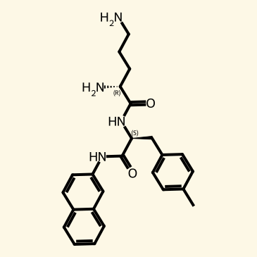 Cc1ccc(C[C@H](NC(=O)[C@H](N)CCCN)C(=O)Nc2ccc3ccccc3c2)cc1